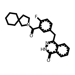 O=C(c1cc(Cc2n[nH]c(=O)c3ccccc23)ccc1F)N1CCC2(CCCCC2)C1